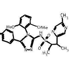 COc1cccc(OC)c1-n1c(NS(=O)(=O)C(C)C(C)c2cnc(C)cn2)nnc1-c1ccccc1